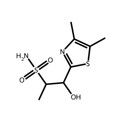 Cc1nc(C(O)C(C)S(N)(=O)=O)sc1C